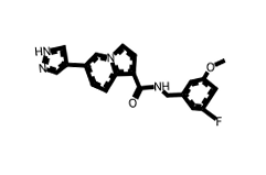 COc1cc(F)cc(CNC(=O)c2ccn3cc(-c4cn[nH]c4)ccc23)c1